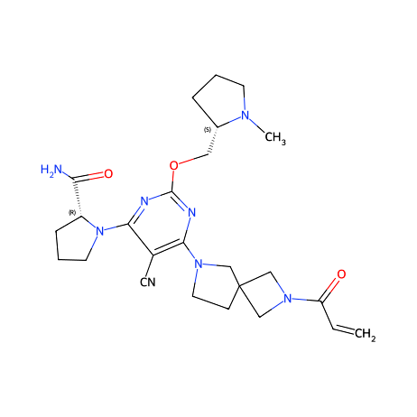 C=CC(=O)N1CC2(CCN(c3nc(OC[C@@H]4CCCN4C)nc(N4CCC[C@@H]4C(N)=O)c3C#N)C2)C1